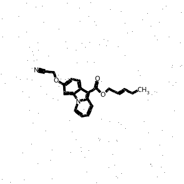 CCC=CCOC(=O)c1c2ccc(OCC#N)cc2n2ccccc12